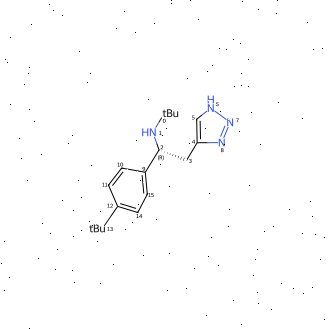 CC(C)(C)N[C@H](Cc1c[nH]nn1)c1ccc(C(C)(C)C)cc1